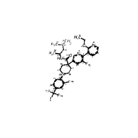 CCOc1ncccc1-c1ncc(C2(C(=O)NC(C)CN(C)C)CCN(c3ccc(C(F)(F)F)cc3F)CC2)cc1F